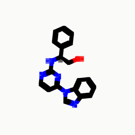 OC[C@@H](Nc1nccc(-n2cnc3ccccc32)n1)c1ccccc1